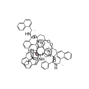 C[C@H](NC(=O)c1ccccc1[C@H]1N2C(=O)CCC(=O)N2[C@H](c2ccccc2C(=O)N[C@@H](C)c2cccc3ccccc23)P1c1ccccc1P1[C@@H](c2ccccc2C(=O)N[C@@H](C)c2cccc3ccccc23)N2C(=O)CCC(=O)N2[C@@H]1c1ccccc1C(=O)N[C@@H](C)c1cccc2ccccc12)c1cccc2ccccc12